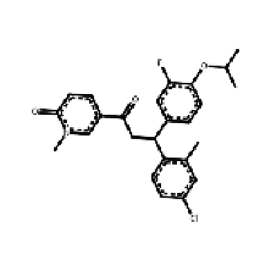 Cc1cc(Cl)ccc1C(CC(=O)c1ccc(=O)n(C)c1)c1ccc(OC(C)C)c(F)c1